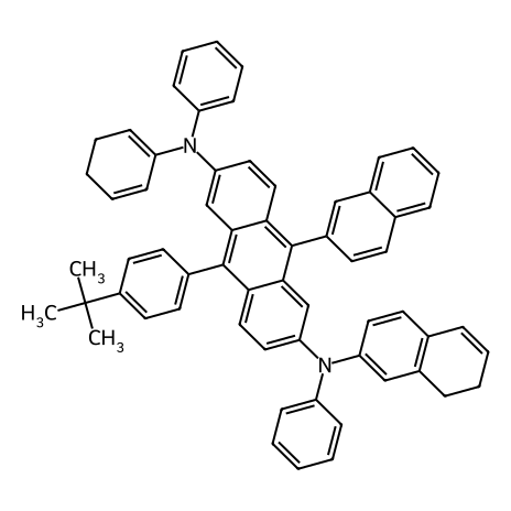 CC(C)(C)c1ccc(-c2c3ccc(N(c4ccccc4)c4ccc5c(c4)CCC=C5)cc3c(-c3ccc4ccccc4c3)c3ccc(N(C4=CCCC=C4)c4ccccc4)cc23)cc1